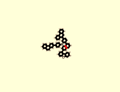 c1ccc(-c2ccc(-c3cc4ccccc4c4ccccc34)cc2N(c2ccc(-c3ccc4c(ccc5ccccc54)c3)cc2)c2cccc(-c3cccc4oc5ccccc5c34)c2)cc1